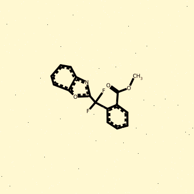 COC(=O)c1ccccc1C(F)(F)c1nc2ccccc2o1